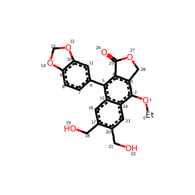 CCOc1c2c(c(-c3ccc4c(c3)OCO4)c3cc(CO)c(CO)cc13)C(=O)OC2